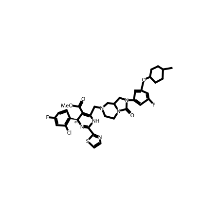 COC(=O)C1=C(CN2CCN3C(=O)N(c4cc(F)cc(OC5CCC(C)CC5)c4)CC3C2)NC(c2nccs2)=N[C@H]1c1ccc(F)cc1Cl